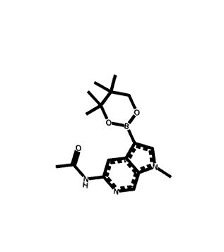 CC(=O)Nc1cc2c(B3OCC(C)(C)C(C)(C)O3)cn(C)c2cn1